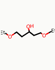 CCOCCC(O)CCOCC